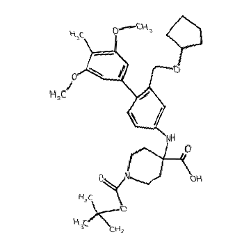 COc1cc(-c2ccc(NC3(C(=O)O)CCN(C(=O)OC(C)(C)C)CC3)cc2COC2CCCC2)cc(OC)c1C